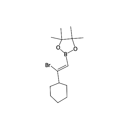 CC1(C)OB(C=C(Br)C2CCCCC2)OC1(C)C